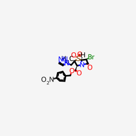 C[C@]1(Cn2ccnn2)[C@H](C(=O)OCc2ccc([N+](=O)[O-])cc2)N2C(=O)[C@H](Br)[C@@H]2S1(=O)=O